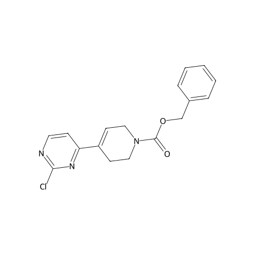 O=C(OCc1ccccc1)N1CC=C(c2ccnc(Cl)n2)CC1